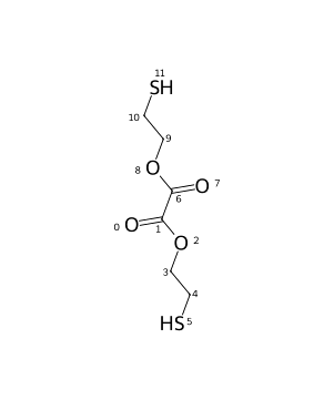 O=C(OCCS)C(=O)OCCS